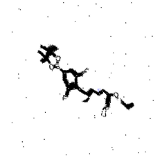 CCOC(=O)/C=C/C=C(C)c1c(F)cc(B2OC(C)(C)C(C)(C)O2)cc1F